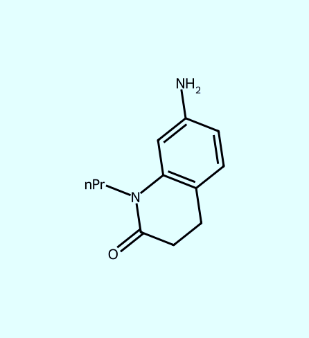 CCCN1C(=O)CCc2ccc(N)cc21